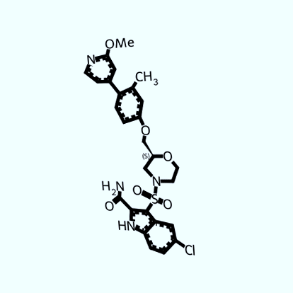 COc1cc(-c2ccc(OC[C@@H]3CN(S(=O)(=O)c4c(C(N)=O)[nH]c5ccc(Cl)cc45)CCO3)cc2C)ccn1